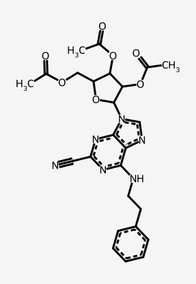 CC(=O)OCC1OC(n2cnc3c(NCCc4ccccc4)nc(C#N)nc32)C(OC(C)=O)C1OC(C)=O